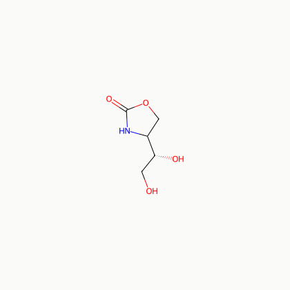 O=C1NC([C@H](O)CO)CO1